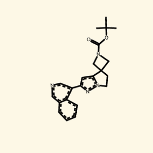 CC(C)(C)OC(=O)N1CC2(CCn3nc(-c4cncc5ccccc45)cc32)C1